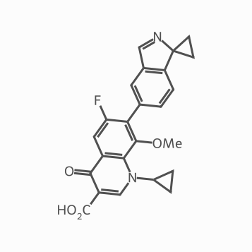 COc1c(-c2ccc3c(c2)C=NC32CC2)c(F)cc2c(=O)c(C(=O)O)cn(C3CC3)c12